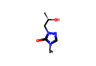 CC(C)n1cnn(C[C@H](C)O)c1=O